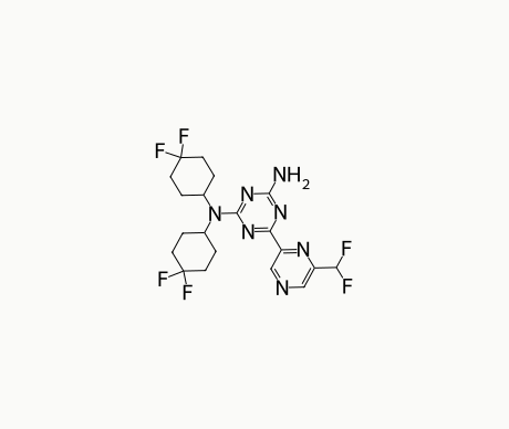 Nc1nc(-c2cncc(C(F)F)n2)nc(N(C2CCC(F)(F)CC2)C2CCC(F)(F)CC2)n1